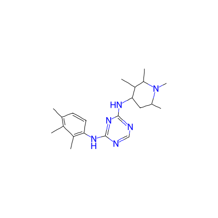 Cc1ccc(Nc2ncnc(NC3CC(C)N(C)C(C)C3C)n2)c(C)c1C